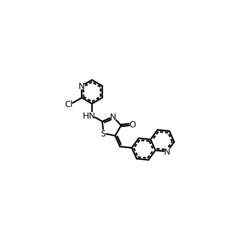 O=C1N=C(Nc2cccnc2Cl)SC1=Cc1ccc2ncccc2c1